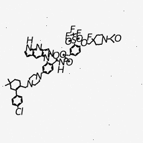 CC1(C)CCC(CN2CCN(c3ccc(C(=O)NS(=O)(=O)c4ccc(OCC5(F)CCN(C6COC6)CC5)c(S(=O)(=O)C(F)(F)F)c4)c(-n4ncc5nc6[nH]ccc6cc54)c3)CC2)=C(c2ccc(Cl)cc2)C1